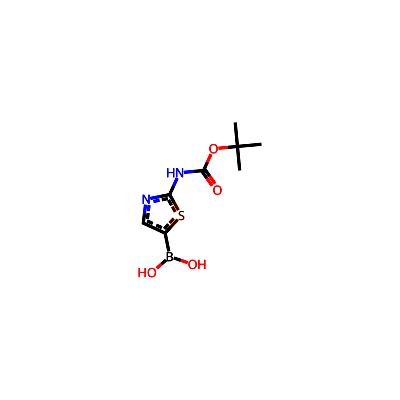 CC(C)(C)OC(=O)Nc1ncc(B(O)O)s1